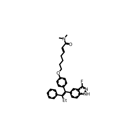 CC/C(=C(/c1ccc(OCCCC/C=C/C(=O)N(C)C)cc1)c1ccc2[nH]nc(F)c2c1)c1ccccc1